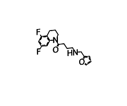 O=C(CCCNCc1ccco1)N1CCCc2c(F)cc(F)cc21